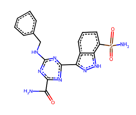 NC(=O)c1nc(NCc2ccccc2)nc(-c2n[nH]c3c(S(N)(=O)=O)cccc23)n1